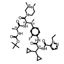 CCn1nccc1C(=O)N[C@H](C(=O)Nc1ccc([C@H](C)[C@@H](NC(=O)[C@H](C)NC(=O)OC(C)(C)C)C(=O)N2CCN(C)[C@H](C)C2)cc1F)C(C1CC1)C1CC1